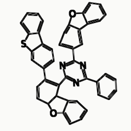 C1=CC2Oc3ccccc3C2C(c2nc(-c3ccccc3)nc(-c3ccc4oc5ccccc5c4c3)n2)=C1c1ccc2c(c1)sc1ccccc12